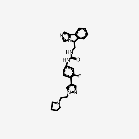 O=C(NCC1c2ccccc2-c2cncn21)Nc1ccc(-c2cnn(CCN3CCCC3)c2)c(F)c1